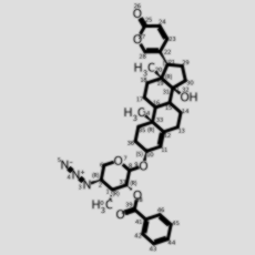 C[C@@H]1[C@@H](N=[N+]=[N-])COC(O[C@@H]2C=C3CCC4C(CC[C@]5(C)[C@@H](c6ccc(=O)oc6)CC[C@]45O)[C@@]3(C)CC2)[C@@H]1OC(=O)c1ccccc1